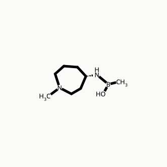 CB(O)N[C@H]1CCCN(C)CC1